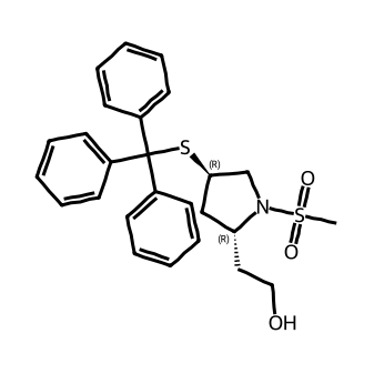 CS(=O)(=O)N1C[C@H](SC(c2ccccc2)(c2ccccc2)c2ccccc2)C[C@H]1CCO